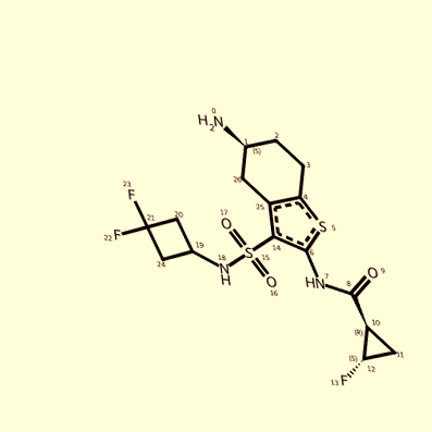 N[C@H]1CCc2sc(NC(=O)[C@H]3C[C@@H]3F)c(S(=O)(=O)NC3CC(F)(F)C3)c2C1